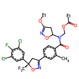 CCOC1=NOC(N(COC(=O)CC)C(=O)c2ccc(C3=NO[C@@](c4cc(Cl)c(F)c(Cl)c4)(C(F)(F)F)C3)cc2C)C1